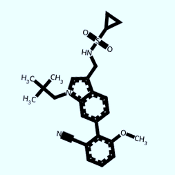 COc1cccc(C#N)c1-c1ccc2c(CNS(=O)(=O)C3CC3)cn(CC(C)(C)C)c2c1